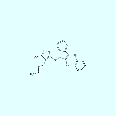 CCCCC1=[C]([Ti][CH]2C(C)=C(Pc3ccccc3)c3ccccc32)CC=C1C